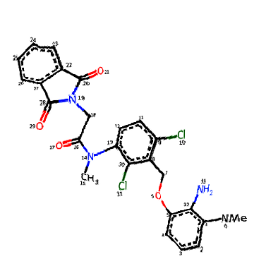 CNc1cccc(OCc2c(Cl)ccc(N(C)C(=O)CN3C(=O)c4ccccc4C3=O)c2Cl)c1N